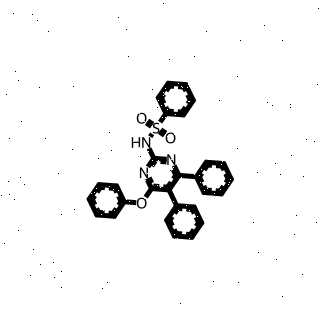 O=S(=O)(Nc1nc(Oc2ccccc2)c(-c2ccccc2)c(-c2ccccc2)n1)c1ccccc1